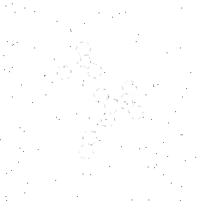 c1ccc(-n2c3ccccc3c3ccc(-c4ccc5c6cc(-c7ccc8ccccc8c7)ccc6c6c7ccccc7c7ccccc7c6c5c4)cc32)cc1